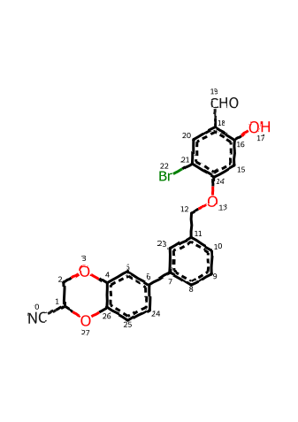 N#CC1COc2cc(-c3cccc(COc4cc(O)c(C=O)cc4Br)c3)ccc2O1